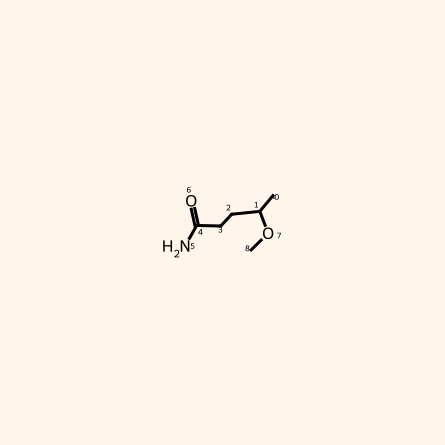 [CH2]C(CCC(N)=O)OC